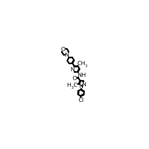 Cc1cc(NC(=O)c2cnn(-c3ccc(Cl)cc3)c2C)cnc1C1=CCC(N2CCOCC2)CC1